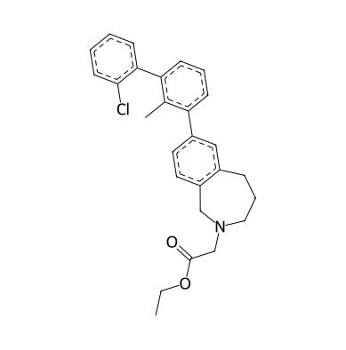 CCOC(=O)CN1CCCc2cc(-c3cccc(-c4ccccc4Cl)c3C)ccc2C1